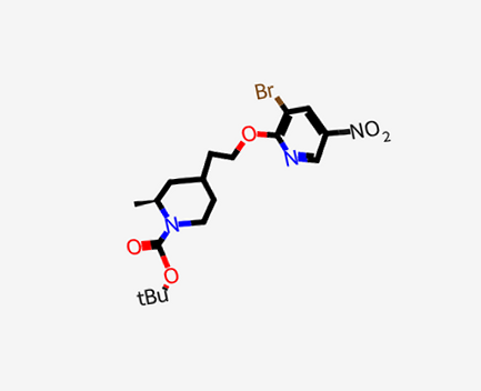 C[C@H]1CC(CCOc2ncc([N+](=O)[O-])cc2Br)CCN1C(=O)OC(C)(C)C